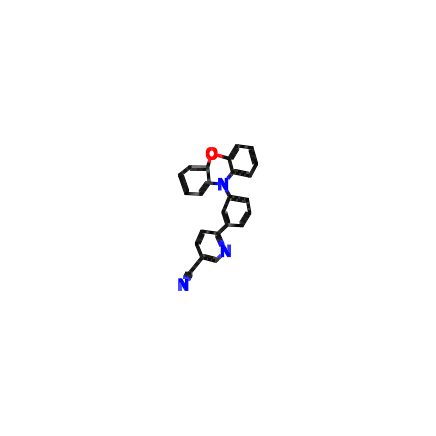 N#Cc1ccc(-c2cccc(N3c4ccccc4Oc4ccccc43)c2)nc1